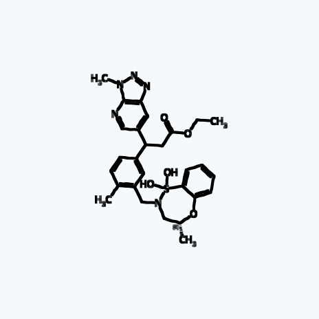 CCOC(=O)CC(c1ccc(C)c(CN2C[C@@H](C)Oc3ccccc3S2(O)O)c1)c1cnc2c(c1)nnn2C